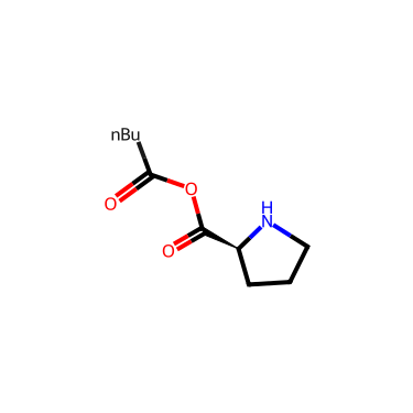 CCCCC(=O)OC(=O)[C@@H]1CCCN1